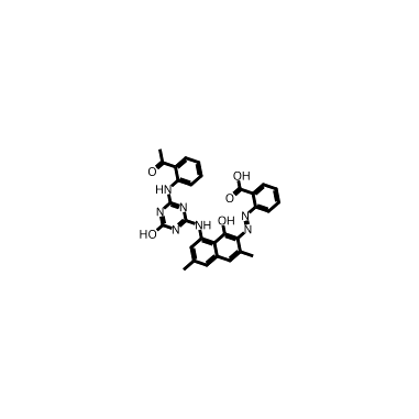 CC(=O)c1ccccc1Nc1nc(O)nc(Nc2cc(C)cc3cc(C)c(N=Nc4ccccc4C(=O)O)c(O)c23)n1